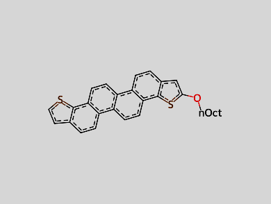 CCCCCCCCOc1cc2ccc3c4ccc5c(ccc6ccsc65)c4ccc3c2s1